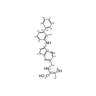 Cc1c(Nc2csc3cc(CNC(C(=O)O)C(C)O)cnc23)cccc1-c1ccccc1